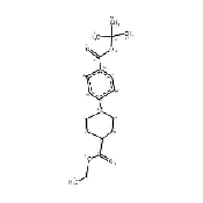 CCOC(=O)C1CCN(c2ccc(C(=O)OC(C)(C)C)cc2)CC1